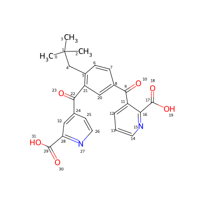 CC(C)(C)Cc1ccc(C(=O)c2cccnc2C(=O)O)cc1C(=O)c1ccnc(C(=O)O)c1